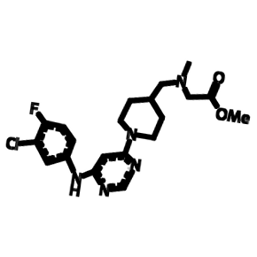 COC(=O)CN(C)CC1CCN(c2cc(Nc3ccc(F)c(Cl)c3)ncn2)CC1